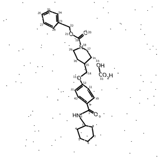 O=C(NC1CCCCC1)c1ccc(OCC2CCN(C(=O)OCc3ccccc3)CC2)cc1.O=C(O)O